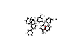 Cc1cc(N(c2ccc(C(C)(C)C)cc2)c2ccc(C(C)(C)C)cc2-c2ccccc2)cc(N2c3ccc(C4CCCCC4)cc3C3(CCCCC3)C2(C)C)c1